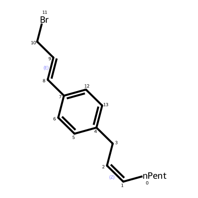 CCCCC/C=C\Cc1ccc(/C=C/CBr)cc1